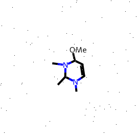 COC1C=CN(C)C(C)N1C